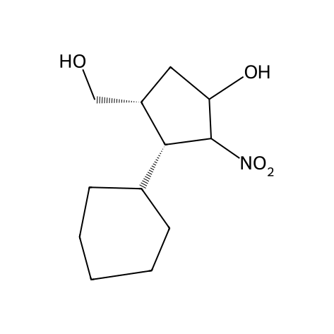 O=[N+]([O-])C1C(O)C[C@@H](CO)[C@H]1C1CCCCC1